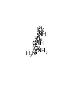 NSc1ccc(C(=O)Nc2ccc(SNc3ccccc3)cc2)cc1N